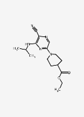 CCOC(=O)C1CCN(c2cnc(C#N)c(NC(C)C)n2)CC1